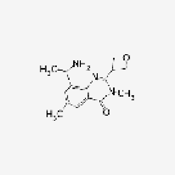 Cc1cc([C@@H](C)N)c2nc(C3COC3)n(C)c(=O)c2c1